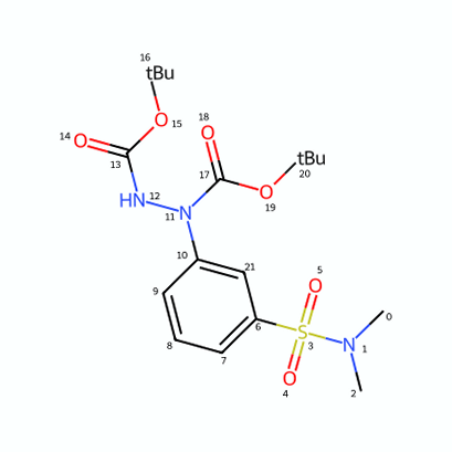 CN(C)S(=O)(=O)c1cccc(N(NC(=O)OC(C)(C)C)C(=O)OC(C)(C)C)c1